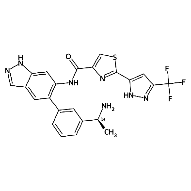 C[C@H](N)c1cccc(-c2cc3cn[nH]c3cc2NC(=O)c2csc(-c3cc(C(F)(F)F)n[nH]3)n2)c1